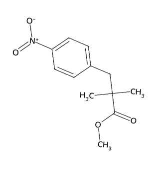 COC(=O)C(C)(C)Cc1ccc([N+](=O)[O-])cc1